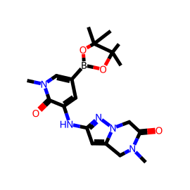 CN1Cc2cc(Nc3cc(B4OC(C)(C)C(C)(C)O4)cn(C)c3=O)nn2CC1=O